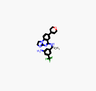 C[C@@H](NC1=NC2=NCCN2c2ccc(C3=CCOCC3)cc21)c1cc(N)cc(C(F)(F)F)c1